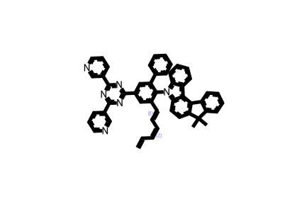 C=C/C=C\C=C\c1cc(-c2nc(-c3cccnc3)nc(-c3cccnc3)n2)cc(-c2ccccc2)c1-n1c2ccccc2c2c3c(ccc21)C(C)(C)c1ccccc1-3